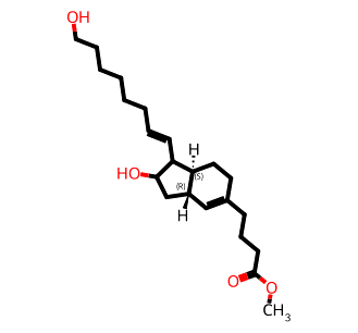 COC(=O)CCCC1=C[C@@H]2CC(O)C(C=CCCCCCCO)[C@H]2CC1